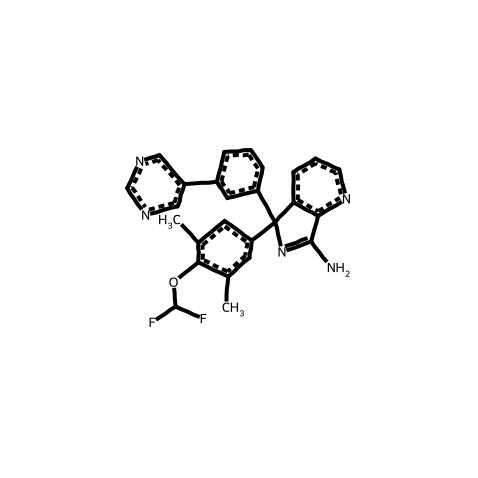 Cc1cc(C2(c3cccc(-c4cncnc4)c3)N=C(N)c3ncccc32)cc(C)c1OC(F)F